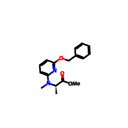 COC(=O)[C@H](C)N(C)c1cccc(OCc2ccccc2)n1